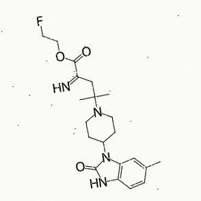 Cc1ccc2[nH]c(=O)n(C3CCN(C(C)(C)CC(=N)C(=O)OCCF)CC3)c2c1